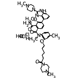 COc1c(-c2cccc3[nH]c(N4CCN(C)CC4)nc23)ccc(C(=O)N(C)c2ccc(C)cc2OCCCCCC(=O)N2CCN(C)CC2)c1C(N)=O.Cl.Cl.Cl